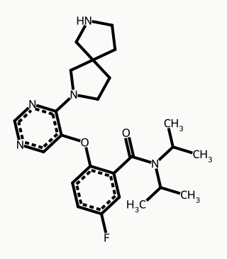 CC(C)N(C(=O)c1cc(F)ccc1Oc1cncnc1N1CCC2(CCNC2)C1)C(C)C